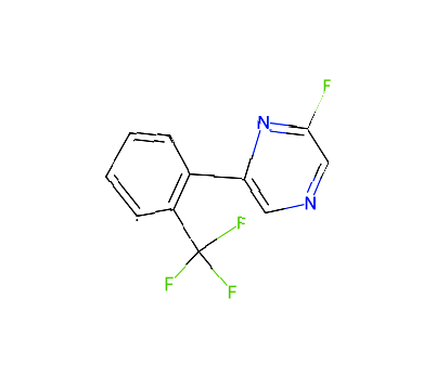 Fc1cncc(-c2ccc[c]c2C(F)(F)F)n1